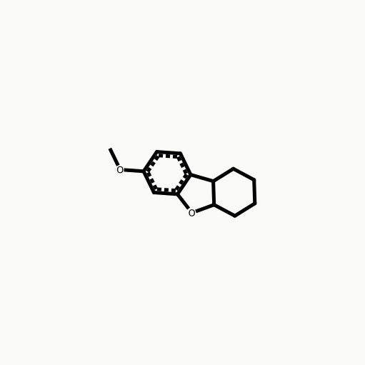 COc1ccc2c(c1)OC1CCCCC21